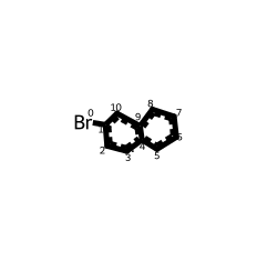 Brc1c[c]c2ccccc2c1